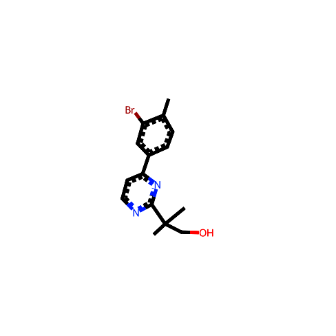 Cc1ccc(-c2ccnc(C(C)(C)CO)n2)cc1Br